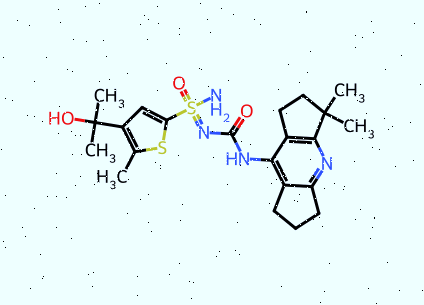 Cc1sc(S(N)(=O)=NC(=O)Nc2c3c(nc4c2CCC4(C)C)CCC3)cc1C(C)(C)O